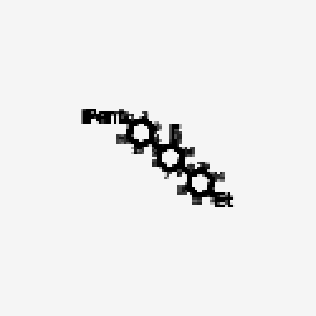 CCCC(C)C1CCC(C2CCC(C3CCC(CC)CC3)CC2F)CC1